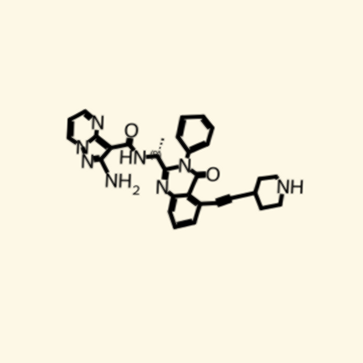 C[C@@H](NC(=O)c1c(N)nn2cccnc12)c1nc2cccc(C#CC3CCNCC3)c2c(=O)n1-c1ccccc1